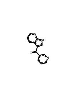 O=C(c1cccnc1)c1c[nH]c2ncccc12